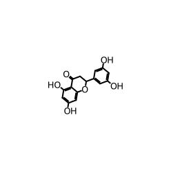 O=C1CC(c2cc(O)cc(O)c2)Oc2cc(O)cc(O)c21